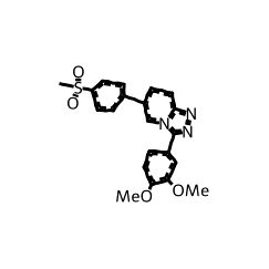 COc1ccc(-c2nnc3ccc(-c4ccc(S(C)(=O)=O)cc4)cn23)cc1OC